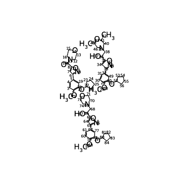 COc1ccc(-c2cc(C(=O)N3CCOCC3)on2)cc1OC1CCCC1.COc1ccc(-c2cc(C(O)CN3CC(C)OC(C)C3)on2)cc1OC1CCCC1.COc1ccc(-c2cc(C(O)CN3CCOCC3)on2)cc1OC1CCCC1